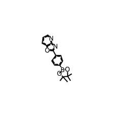 CC1(C)OB(c2ccc(-c3nc4ncccc4o3)cc2)OC1(C)C